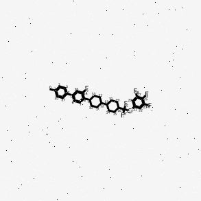 Cc1ccc(-c2ccc(C3CCC(C4CCC(C(F)(F)Oc5cc(F)c(F)c(F)c5)CC4)CC3)c(F)c2)cc1